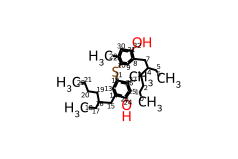 CCCCC(CC)Cc1cc(Sc2cc(CC(CC)CCCC)c(O)cc2C)c(C)cc1O